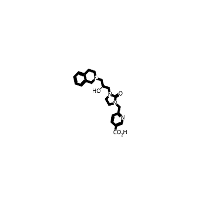 O=C(O)c1ccc(CN2CCN(C[C@H](O)CN3CCc4ccccc4C3)C2=O)nc1